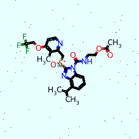 CC(=O)OCCNC(=O)n1c([S@+]([O-])Cc2nccc(OCC(F)(F)F)c2C)nc2c(C(C)C)cccc21